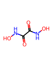 O=C(NO)C(=O)NO